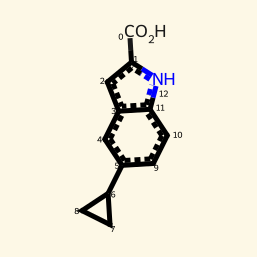 O=C(O)c1cc2cc(C3CC3)ccc2[nH]1